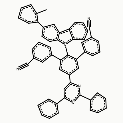 Cc1ccccc1-c1ccc2c(c1)c1ccccc1n2-c1c(-c2cccc(C#N)c2)cc(-c2cc(-c3ccccc3)nc(-c3ccccc3)n2)cc1-c1cccc(C#N)c1